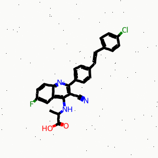 CC(Nc1c(C#N)c(-c2ccc(/C=C/c3ccc(Cl)cc3)cc2)nc2ccc(F)cc12)C(=O)O